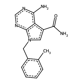 Cc1ccccc1Cn1cc(C(N)=O)c2c(N)ncnc21